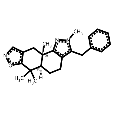 Cn1nc2c(c1Cc1ccccc1)CC[C@H]1C(C)(C)c3oncc3C[C@]21C